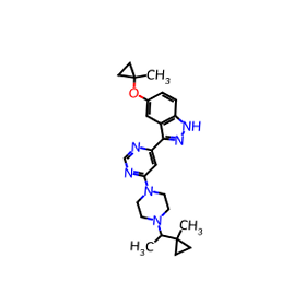 CC(N1CCN(c2cc(-c3n[nH]c4ccc(OC5(C)CC5)cc34)ncn2)CC1)C1(C)CC1